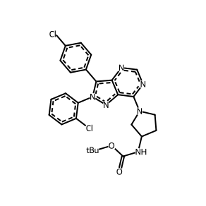 CC(C)(C)OC(=O)NC1CCN(c2ncnc3c(-c4ccc(Cl)cc4)n(-c4ccccc4Cl)nc23)C1